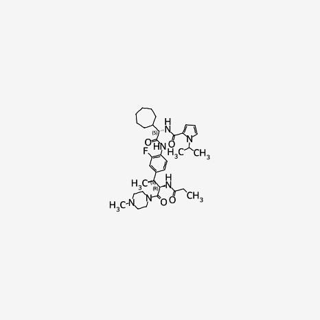 CCC(=O)N[C@@H](C(=O)N1CCN(C)CC1)[C@@H](C)c1ccc(NC(=O)[C@@H](NC(=O)c2cccn2C(C)C)C2CCCCCC2)c(F)c1